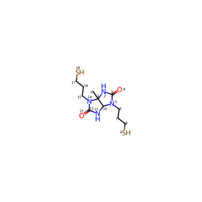 CC12NC(=O)N(CCCS)C1NC(=O)N2CCCS